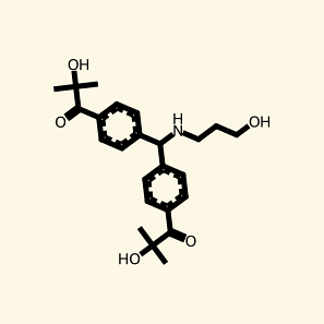 CC(C)(O)C(=O)c1ccc(C(NCCCO)c2ccc(C(=O)C(C)(C)O)cc2)cc1